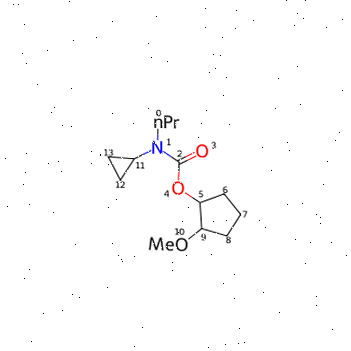 CCCN(C(=O)OC1CCCC1OC)C1CC1